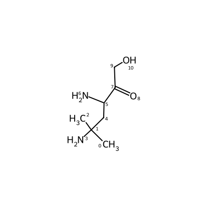 CC(C)(N)CC(N)C(=O)CO